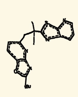 CC(C)(C)c1nc2nc(CC(C)(C)c3nc4cccnc4s3)ccc2o1